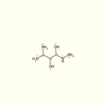 NNC(O)C(O)C(N)N